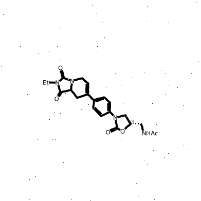 CCN1C(=O)C2CC(c3ccc(N4C[C@H](CNC(C)=O)OC4=O)cc3)=CCN2C1=O